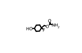 NC(=O)OCC1(F)CCC(O)CC1